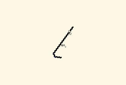 CCCCC/C=C\C/C=C\CCCCCCCCC(N)CCCCCCCCCCCC(=O)OCCCCC